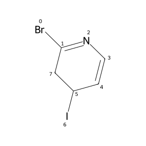 BrC1=NC=CC(I)C1